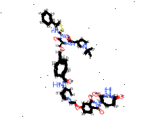 CC(C)(C)N1CCC(C(=O)N[C@@H](COCc2ccc(C(=O)NC3CCN(CCOc4ccc5c(c4)C(=O)N(C4CCC(=O)NC4=O)C5=O)CC3)cc2)C(=O)NC2NC(c3ccccc3)CS2)C1